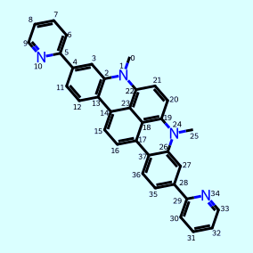 CN1c2cc(-c3ccccn3)ccc2-c2ccc3c4c(ccc1c24)N(C)c1cc(-c2ccccn2)ccc1-3